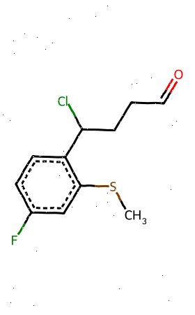 CSc1cc(F)ccc1C(Cl)CCC=O